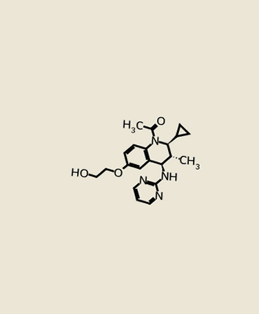 CC(=O)N1c2ccc(OCCO)cc2[C@H](Nc2ncccn2)[C@@H](C)[C@@H]1C1CC1